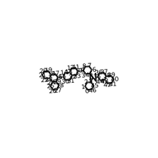 c1ccc(N(c2cccc(-c3ccc4cc(-c5cc6ccccc6c6ccccc56)ccc4c3)c2)c2ccc3ccccc3c2)cc1